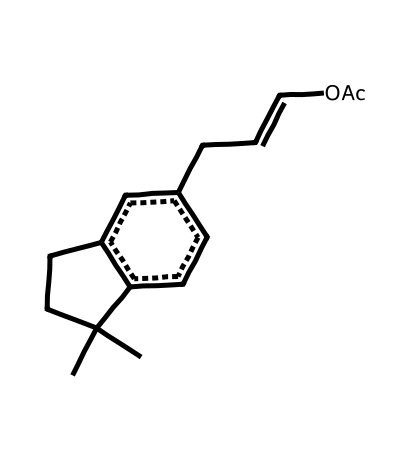 CC(=O)OC=CCc1ccc2c(c1)CCC2(C)C